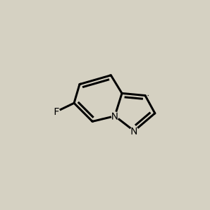 Fc1ccc2[c]cnn2c1